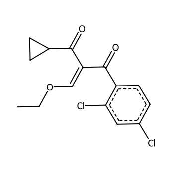 CCOC=C(C(=O)c1ccc(Cl)cc1Cl)C(=O)C1CC1